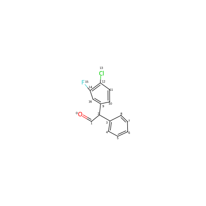 O=CC(c1ccccc1)c1ccc(Cl)c(F)c1